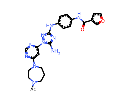 CC(=O)N1CCCN(c2cc(-n3nc(Nc4ccc(NC(=O)c5ccoc5)cc4)nc3N)ncn2)CC1